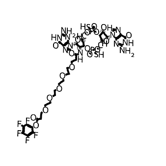 Nc1nc2c(ncn2[C@@H]2O[C@@H]3COP(=O)(S)OC4[C@@H](COP(=O)(S)OC3[C@@H]2O)O[C@@H](n2cnc3c(=O)[nH]c(N)nc32)[C@H]4NC(=O)CCOCCOCCOCCOCCOCCC(=O)Oc2c(F)c(F)c(F)c(F)c2F)c(=O)[nH]1